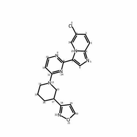 Clc1ccc2ncc(-c3nccc(N4CCCC(c5ccon5)C4)n3)n2c1